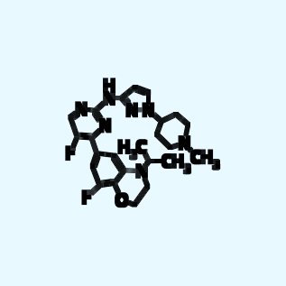 CC(C)N1CCOc2c(F)cc(-c3nc(Nc4ccn(C5CCN(C)CC5)n4)ncc3F)cc21